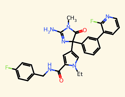 CCn1cc(C2(c3cccc(-c4cccnc4F)c3)N=C(N)N(C)C2=O)cc1C(=O)NCc1ccc(F)cc1